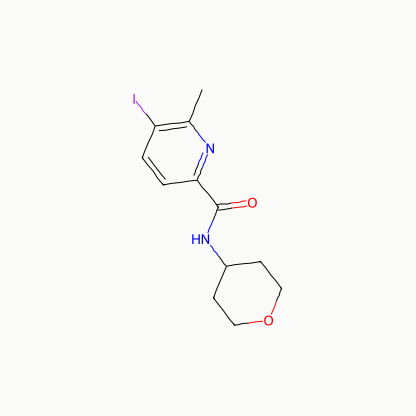 Cc1nc(C(=O)NC2CCOCC2)ccc1I